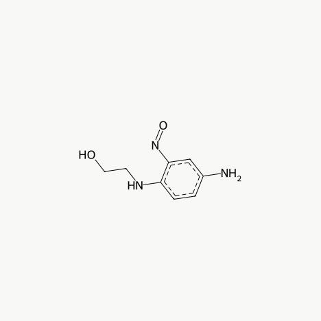 Nc1ccc(NCCO)c(N=O)c1